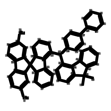 CC(C)(C)c1ccc2c(c1)C1(c3cc(C(C)(C)C)ccc3-2)c2ccccc2-c2c(N(c3ccc(-c4ccccc4)cc3)c3cccc4c3-c3ccccc3C4(C)C)cccc21